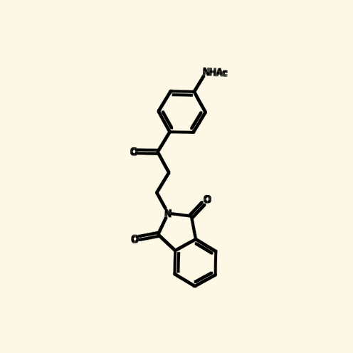 CC(=O)Nc1ccc(C(=O)CCN2C(=O)c3ccccc3C2=O)cc1